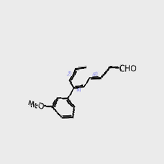 C\C=C/C(=C\C=C\CC=O)c1cccc(OC)c1